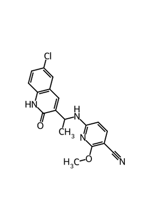 COc1nc(NC(C)c2cc3cc(Cl)ccc3[nH]c2=O)ccc1C#N